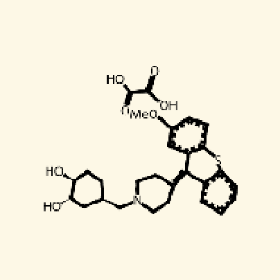 COc1ccc2c(c1)C(=C1CCN(C[C@@H]3CC[C@H](O)[C@@H](O)C3)CC1)c1ccccc1S2.O=C(O)C(=O)O